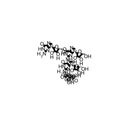 Nc1nc2c(ncn2[C@@H]2O[C@H](CO)[C@@H](O)[C@H]2O)c(=O)[nH]1.Nc1nc2c(ncn2[C@@H]2O[C@H](CO)[C@@H](O)[C@H]2O)c(=O)[nH]1.Nc1nc2c(ncn2[C@@H]2O[C@H](CO)[C@@H](O)[C@H]2O)c(=O)[nH]1.O=P(O)(O)OP(=O)(O)OP(=O)(O)O